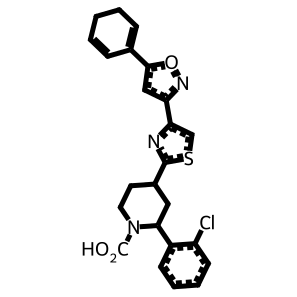 O=C(O)N1CCC(c2nc(-c3cc(C4=CCCC=C4)on3)cs2)CC1c1ccccc1Cl